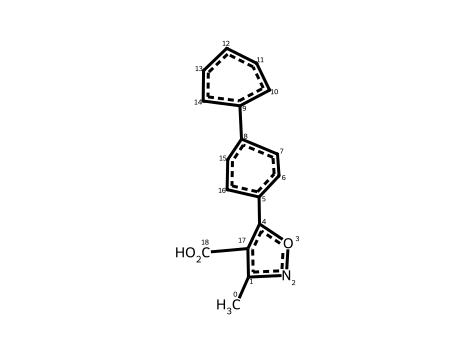 Cc1noc(-c2ccc(-c3ccccc3)cc2)c1C(=O)O